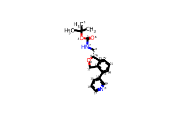 CC(C)(C)OC(=O)NC[C@H]1OCc2c(-c3cccnc3)cccc21